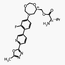 Cc1nnc(-c2ccc(-c3ccc(N4COCO[C@@H](COC(=O)[C@@H](N)C(C)C)C4)cc3F)cn2)o1